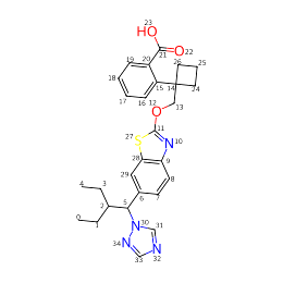 CCC(CC)C(c1ccc2nc(OCC3(c4ccccc4C(=O)O)CCC3)sc2c1)n1cncn1